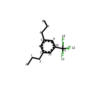 CCCc1cc(CCC)cc(C(F)(F)F)c1